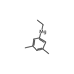 C[CH2][Mg][c]1cc(C)cc(C)c1